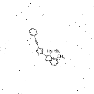 Cc1cccc2nc(-c3ccc(C#Cc4ccccc4)s3)c(NC(C)(C)C)n12